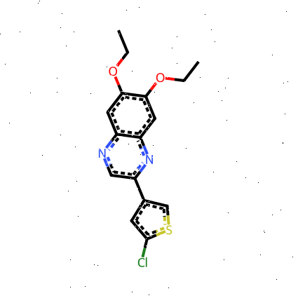 CCOc1cc2ncc(-c3csc(Cl)c3)nc2cc1OCC